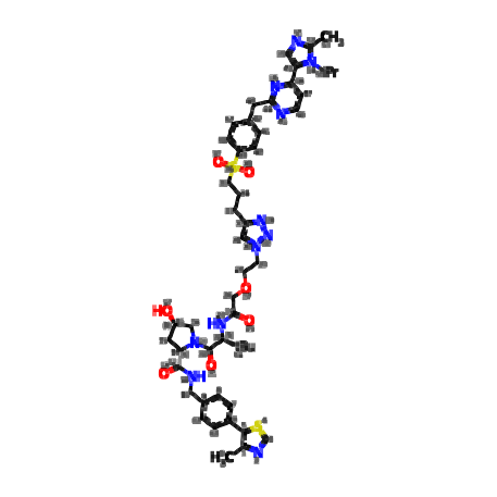 Cc1ncsc1-c1ccc(CNC(=O)[C@@H]2C[C@@H](O)CN2C(=O)[C@@H](NC(=O)COCCn2cc(CCCS(=O)(=O)c3ccc(Cc4nccc(-c5cnc(C)n5C(C)C)n4)cc3)nn2)C(C)(C)C)cc1